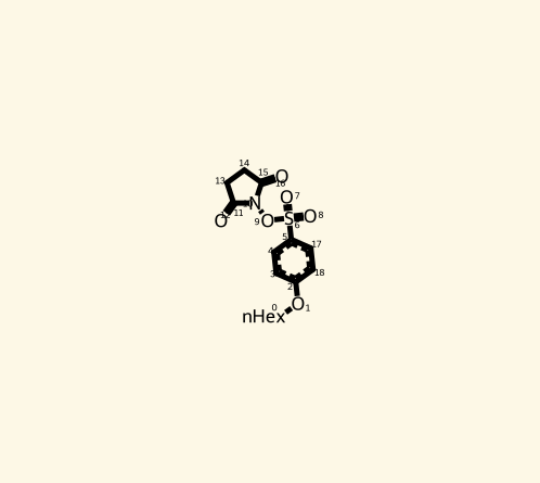 CCCCCCOc1ccc(S(=O)(=O)ON2C(=O)CCC2=O)cc1